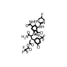 NC(=O)c1cc(NC2=NCC(F)CN2)c2c(Cl)nn(C(C(N)=O)[C@@H](CC(=O)OC(=O)C(F)(F)F)c3cc(Cl)cc(C(F)(F)F)c3)c2c1